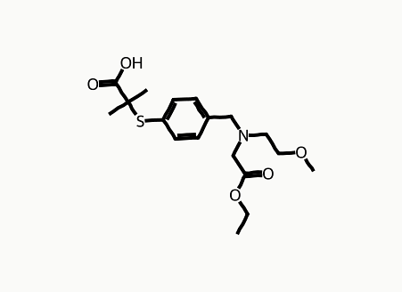 CCOC(=O)CN(CCOC)Cc1ccc(SC(C)(C)C(=O)O)cc1